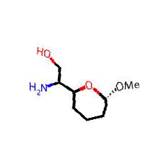 CO[C@@H]1CCCC(C(N)CO)O1